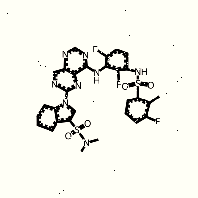 Cc1c(F)cccc1S(=O)(=O)Nc1ccc(F)c(Nc2ncnc3cnc(-n4cc(S(=O)(=O)N(C)C)c5ccccc54)nc23)c1F